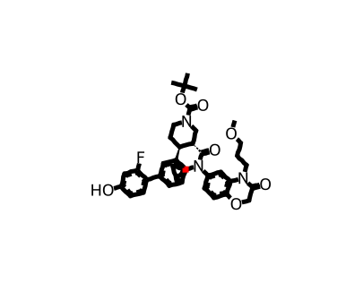 COCCCN1C(=O)COc2ccc(N(C(=O)[C@H]3CN(C(=O)OC(C)(C)C)CC[C@@H]3c3cccc(-c4ccc(O)cc4F)c3)C3CC3)cc21